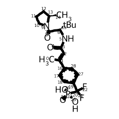 C/C(=C\C(=O)N[C@H](C(=O)N1CCC[C@H]1C)C(C)(C)C)c1ccc(C(F)(F)P(=O)(O)O)cc1